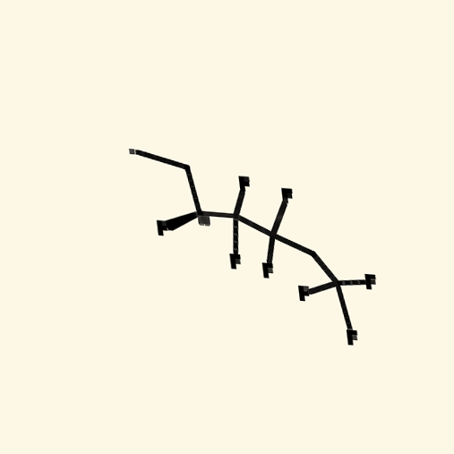 [CH2]C[C@H](F)C(F)(F)C(F)(F)CC(F)(F)F